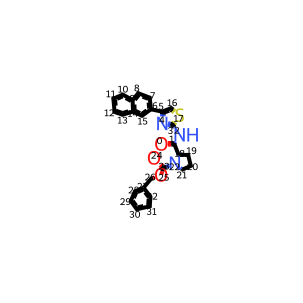 O=C(Nc1nc(-c2ccc3ccccc3c2)cs1)C1CCCN1C(=O)OCc1ccccc1